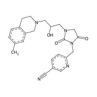 Cc1ccc2c(c1)CN(CC(O)CN1CC(=O)N(Cc3ccc(C#N)cn3)C1=O)CC2